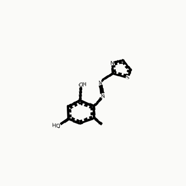 Cc1cc(O)cc(O)c1N=Nc1nccs1